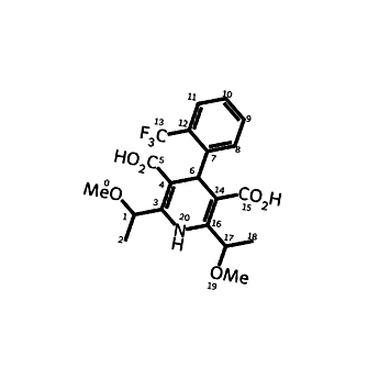 COC(C)C1=C(C(=O)O)C(c2ccccc2C(F)(F)F)C(C(=O)O)=C(C(C)OC)N1